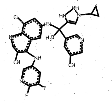 BC(Nc1cc(Cl)c2ncc(C#N)c(Nc3cnc(F)c(F)c3)c2c1)(C1=CN(C2CC2)NN1)c1cncc(C#N)c1